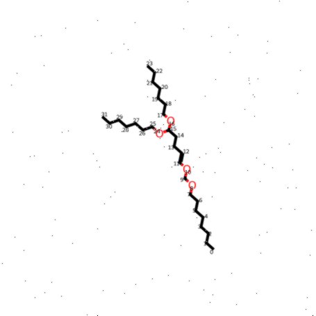 CCCCCCCCOCOC=CCCC(OCCCCCCC)OCCCCCCC